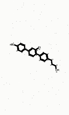 CCCCc1ccc(-c2ccc(-c3ccc(CCCO)cc3)c(CC)c2)cc1